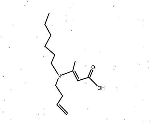 C=CCCN(CCCCCC)C(C)=CC(=O)O